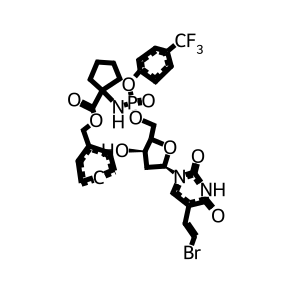 O=C(OCc1ccccc1)C1(NP(=O)(OCC2O[C@@H](n3cc(/C=C/Br)c(=O)[nH]c3=O)C[C@H]2O)Oc2ccc(C(F)(F)F)cc2)CCCC1